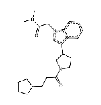 CN(C)C(=O)Cn1cc(C2CCN(C(=O)CCC3CCCC3)C2)c2ccccc21